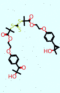 CC(C)(O)C(=O)c1ccc(OCCOC(=O)C(C)(C)SC(=S)SC(C)(C)C(=O)OCCOc2ccc(C3=CC3(C)O)cc2)cc1